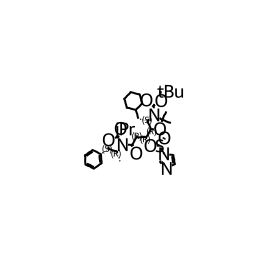 CC(C)[C@@H](C(=O)N1C(=O)O[C@@H](c2ccccc2)[C@H]1C)[C@@H](OS(=O)n1ccnc1)[C@@H]1OC(C)(C)N(C(=O)OC(C)(C)C)[C@H]1CC1CCCCC1